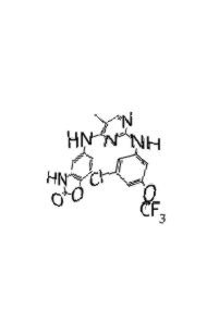 Cc1cnc(Nc2cc(Cl)cc(OC(F)(F)F)c2)nc1Nc1ccc2oc(=O)[nH]c2c1